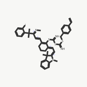 C=Cc1ccc(CSC(=N)SC(=N)SC2=C(/C=C/C(=N\C)C(C)(C)c3ccccc3I)CCC/C2=C\C=C2\N(C)c3ccccc3C2(C)C)cc1